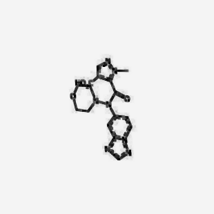 Cn1ncc(C(=O)O)c1C(=O)N(c1ccn2ncnc2c1)N1CCOCC1